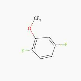 Fc1[c]cc(F)c(OC(F)(F)F)c1